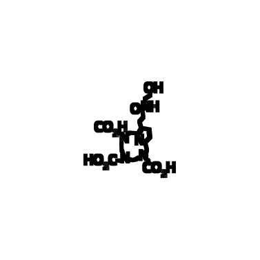 O=C(O)CN1CCN(CC(=O)O)Cc2ccc(CCC(=O)NCCO)c(n2)CN(CC(=O)O)CC1